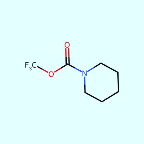 O=C(OC(F)(F)F)N1CCCCC1